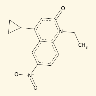 CCn1c(=O)cc(C2CC2)c2cc([N+](=O)[O-])ccc21